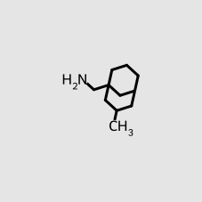 CC1CC2CCCC(CN)(C1)C2